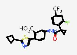 O=C(O)c1cc(NC(=O)C2(c3ccc(C(F)(F)F)cc3F)CC2)ccc1-c1cnc(C2CCC2)s1